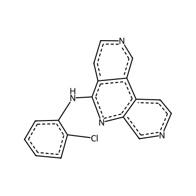 Clc1ccccc1Nc1nc2cnccc2c2cnccc12